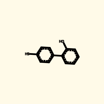 Oc1ccccc1-c1ccc(S)cc1